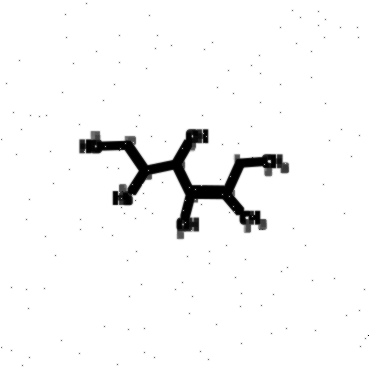 CC/C(C)=C(/O)C(O)C(S)CO